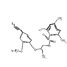 COc1cc(C#N)ccc1OC(C)CNS(=O)(=O)c1c(C)cc(C)cc1C